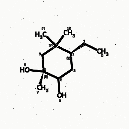 CC[C@H]1CC(O)[C@@](C)(O)CC1(C)C